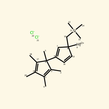 CC1=C(C)C(C)(C2=C[C]([Hf+2])(C[Si](C)(C)C)C=C2)C(C)=C1C.[Cl-].[Cl-]